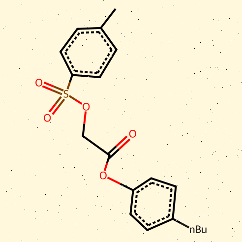 CCCCc1ccc(OC(=O)COS(=O)(=O)c2ccc(C)cc2)cc1